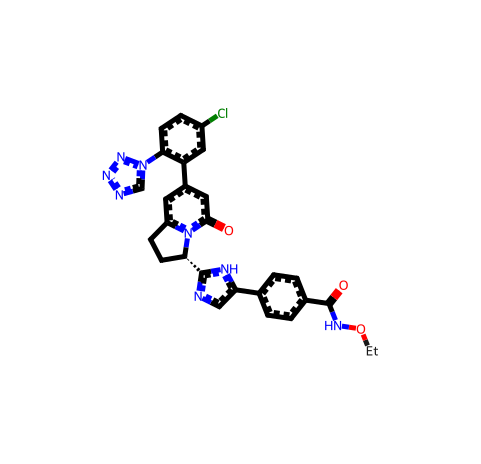 CCONC(=O)c1ccc(-c2cnc([C@@H]3CCc4cc(-c5cc(Cl)ccc5-n5cnnn5)cc(=O)n43)[nH]2)cc1